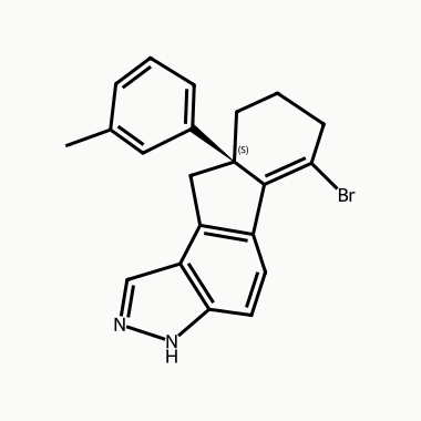 Cc1cccc([C@@]23CCCC(Br)=C2c2ccc4[nH]ncc4c2C3)c1